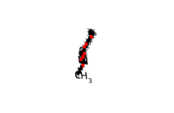 CCCCCCCc1cnc(-c2ccc(OCCCCCCCCCC3CCCC3)cc2)nc1